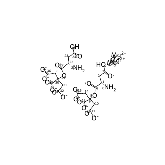 N[C@@H](CC(=O)O)C(=O)OC(CC(=O)[O-])(CC(=O)[O-])C(=O)[O-].N[C@@H](CC(=O)O)C(=O)OC(CC(=O)[O-])(CC(=O)[O-])C(=O)[O-].[Mg+2].[Mg+2].[Mg+2]